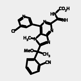 COC(C)(c1ccccc1C#N)c1nc2nc(C(=N)NC(=O)O)nc(-c3cncc(Cl)c3)c2n1C